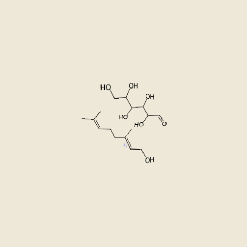 CC(C)=CCC/C(C)=C/CO.O=CC(O)C(O)C(O)C(O)CO